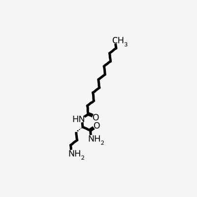 CCCCCCCCCCCC(=O)N[C@@H](CCCN)C(N)=O